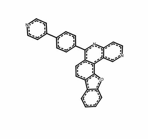 c1ccc2c(c1)oc1c2ccc2c(-c3ccc(-c4ccncc4)cc3)nc3ccncc3c21